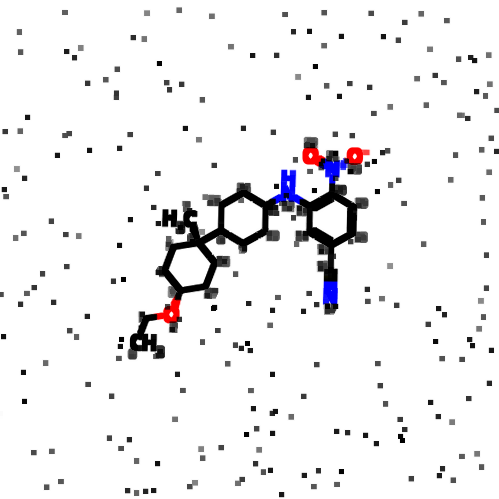 CCO[C@H]1CC[C@](C)(C2CCC(Nc3cc(C#N)ccc3[N+](=O)[O-])CC2)CC1